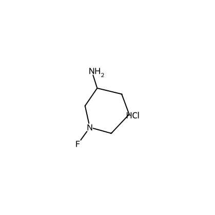 Cl.NC1CCCN(F)C1